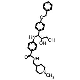 CN1CCC(CNC(=O)c2ccc(NC(c3ccc(OCc4ccccc4)cc3)[C@H](O)CO)cc2)CC1